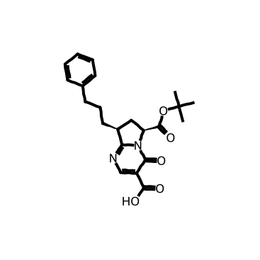 CC(C)(C)OC(=O)[C@@H]1C[C@H](CCCc2ccccc2)c2ncc(C(=O)O)c(=O)n21